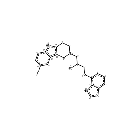 OC(COc1cccc2cc[nH]c12)CN1CCc2[nH]c3ccc(F)cc3c2C1